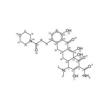 CN(C)C1C(O)=C(C(N)=O)C(=O)C2(O)C(O)=C3C(=O)c4c(O)ccc(CCC(=O)N5CCOCC5)c4CC3CC12